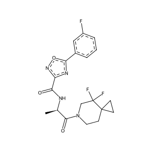 C[C@@H](NC(=O)c1noc(-c2cccc(F)c2)n1)C(=O)N1CCC2(CC2)C(F)(F)C1